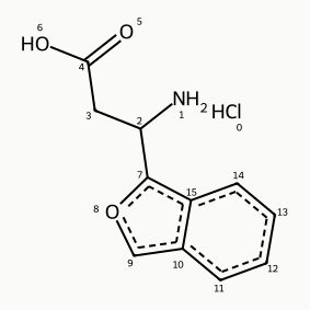 Cl.NC(CC(=O)O)c1occ2ccccc12